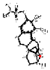 CCN(CC)S(=O)(=O)Oc1cc2c(c(O)c1O)C1CC[C@]3(C)[C@]4(O)CC[C@]3(CC4)C1CC2